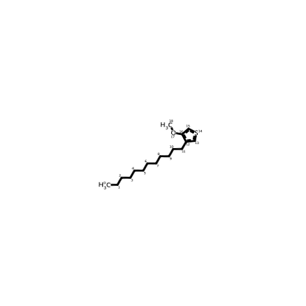 CCCCCCCCCCCCc1cscc1OC